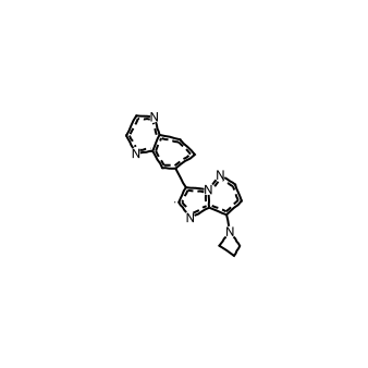 [c]1nc2c(N3CCC3)ccnn2c1-c1ccc2nccnc2c1